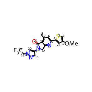 COc1csc(-c2cc(C)c3c(n2)CN(c2cnn(CC(F)(F)F)c2)C3=O)c1